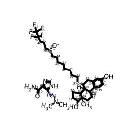 CN(C)/N=N/c1[nH]cnc1C(N)=O.C[C@]12CC[C@@H]3c4ccc(O)cc4C[C@@H](CCCCCCCCC[S+]([O-])CCCC(F)(F)C(F)(F)F)[C@H]3[C@@H]1CC[C@@H]2O